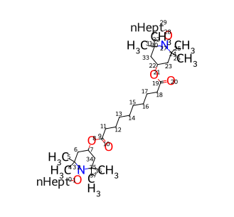 CCCCCCCON1C(C)(C)CC(OC(=O)CCCCCCCCC(=O)OC2CC(C)(C)N(OCCCCCCC)C(C)(C)C2)CC1(C)C